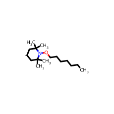 CCCCCCCON1C(C)(C)C[CH]CC1(C)C